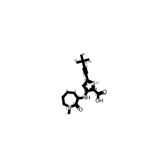 CN1CCCCC(Nc2cc(C#CC(C)(C)C)sc2C(=O)O)C1=O